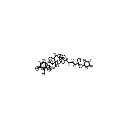 C[C@@]1(N)[C@@H]2O[P@@](=O)(OCCCCC(=O)OC3CCCC3)OCC2O[C@H]1n1ccc(=O)[nH]c1=O